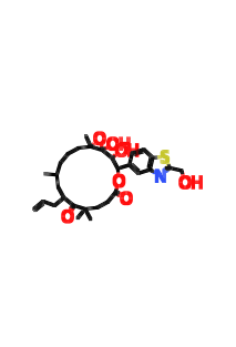 C=CCC1CC(C)CCCC2(C)OC2(O)C(O)C(c2ccc3sc(CO)nc3c2)OC(=O)CCC(C)(C)C1=O